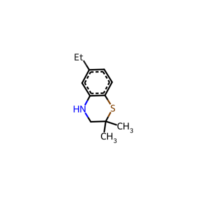 CCc1ccc2c(c1)NCC(C)(C)S2